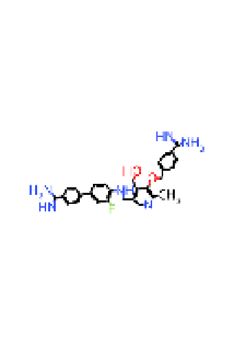 Cc1ncc(CNc2ccc(-c3ccc(C(=N)N)cc3)cc2F)c(CO)c1OCc1ccc(C(=N)N)cc1